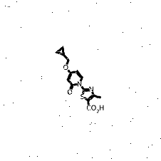 Cc1nc(-n2ccc(OCC3CC3)cc2=O)sc1C(=O)O